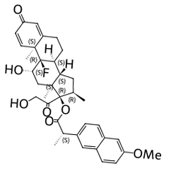 COc1ccc2cc([C@H](C)C(=O)O[C@]3(C(=O)CO)[C@H](C)C[C@H]4[C@@H]5CCC6=CC(=O)C=C[C@]6(C)[C@@]5(F)[C@@H](O)C[C@@]43C)ccc2c1